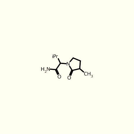 CC1CCN(C(C(N)=O)C(C)C)C1=O